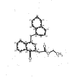 CCOC(=O)Cn1nc(Cc2cccc3ccccc23)c2ccccc2c1=O